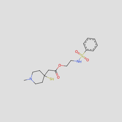 CN1CCC(S)(CC(=O)OCCNS(=O)(=O)c2ccccc2)CC1